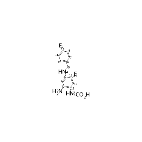 Nc1cc(NCc2ccc(F)cc2)c(F)cc1NC(=O)O